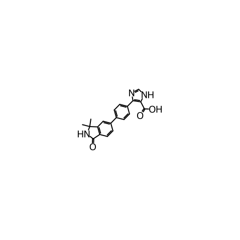 CC1(C)NC(=O)c2ccc(-c3ccc(-c4nc[nH]c4C(=O)O)cc3)cc21